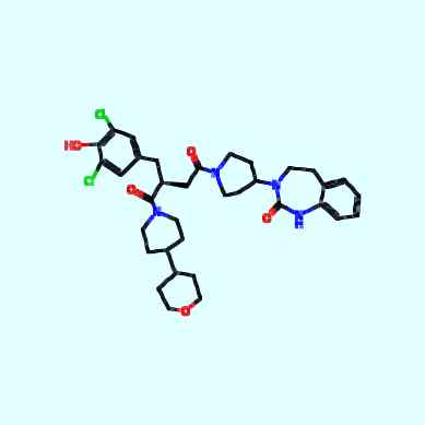 O=C(C[C@H](Cc1cc(Cl)c(O)c(Cl)c1)C(=O)N1CCC(C2CCOCC2)CC1)N1CCC(N2CCc3ccccc3NC2=O)CC1